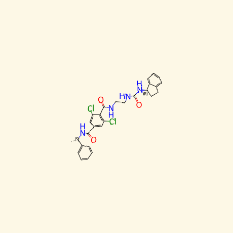 C[C@H](NC(=O)c1cc(Cl)c(C(=O)NCCNC(=O)N[C@@H]2CCc3ccccc32)c(Cl)c1)c1ccccc1